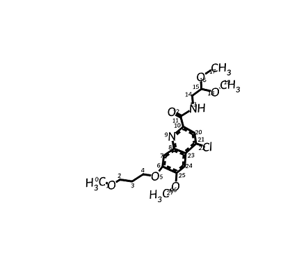 COCCCOc1cc2nc(C(=O)NCC(OC)OC)cc(Cl)c2cc1OC